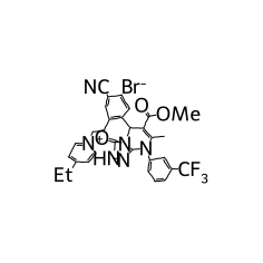 CCc1cc[n+](CCc2cc(C#N)ccc2C2C(C(=O)OC)=C(C)N(c3cccc(C(F)(F)F)c3)c3n[nH]c(=O)n32)cc1.[Br-]